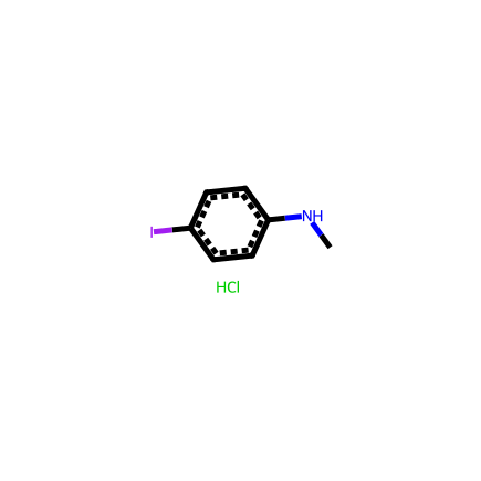 CNc1ccc(I)cc1.Cl